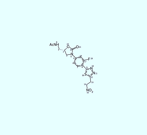 CC(=O)NC[C@H]1CN(c2ccc(-c3nnc(CC[N+](=O)[O-])s3)c(F)c2)C(=O)O1